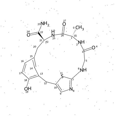 C[C@@H]1NC(=O)CNc2ncc(s2)Cc2cc(ccc2O)C[C@@H](C(N)=O)NC1=O